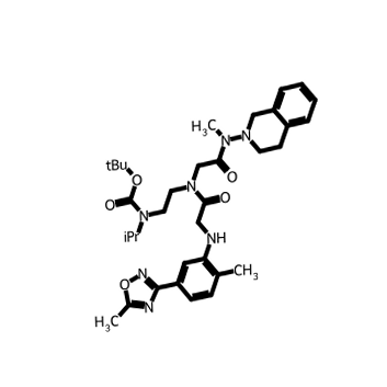 Cc1nc(-c2ccc(C)c(NCC(=O)N(CCN(C(=O)OC(C)(C)C)C(C)C)CC(=O)N(C)N3CCc4ccccc4C3)c2)no1